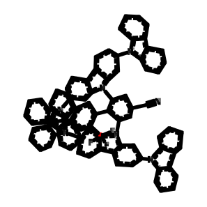 N#Cc1cc(-n2c3cc(-n4c5ccccc5c5ccccc54)ccc3c3ccc(-n4c5ccccc5c5ccccc54)cc32)c(-c2ccc(C#N)cc2C(F)(F)F)c(-n2c3cc(-n4c5ccccc5c5ccccc54)ccc3c3ccc(-n4c5ccccc5c5ccccc54)cc32)c1